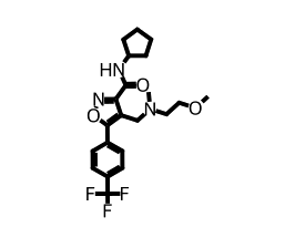 COCCN(C)Cc1c(C(=O)NC2CCCC2)noc1-c1ccc(C(F)(F)F)cc1